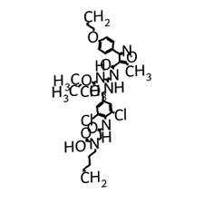 C=CCCCN(CC(=O)Nc1c(Cl)cc(CN/C(=N/C(=O)c2c(-c3ccc(OCC=C)cc3)noc2C)NC(=O)OC(C)(C)C)cc1Cl)C(=O)O